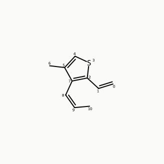 C=Cc1scc(C)c1/C=C\C